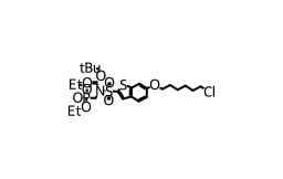 CCOP(=O)(CN(C(=O)OC(C)(C)C)S(=O)(=O)c1cc2ccc(OCCCCCCCl)cc2s1)OCC